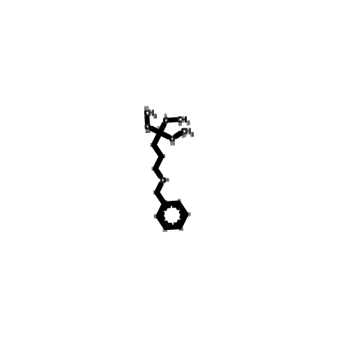 COC(CCCOCc1ccccc1)(OC)OC